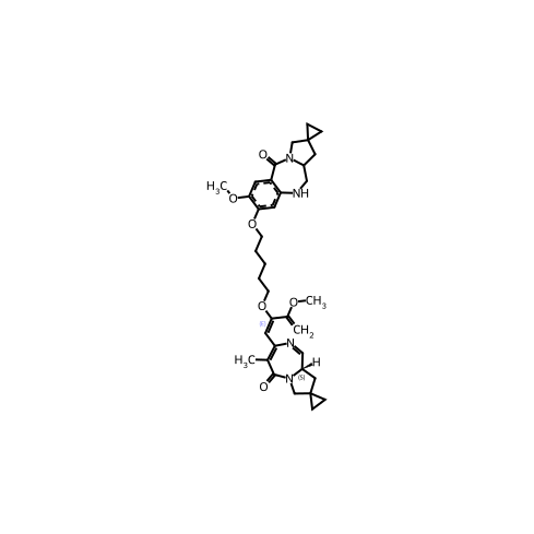 C=C(OC)/C(=C\C1=C(C)C(=O)N2CC3(CC3)C[C@H]2C=N1)OCCCCCOc1cc2c(cc1OC)C(=O)N1CC3(CC3)CC1CN2